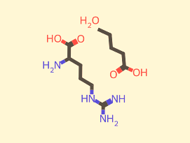 CCCCC(=O)O.N=C(N)NCCCC(N)C(=O)O.O